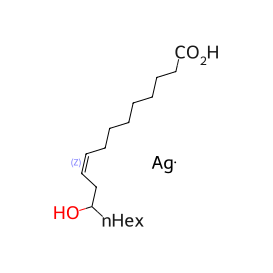 CCCCCCC(O)C/C=C\CCCCCCCC(=O)O.[Ag]